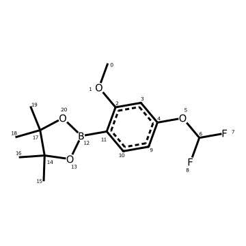 COc1cc(OC(F)F)ccc1B1OC(C)(C)C(C)(C)O1